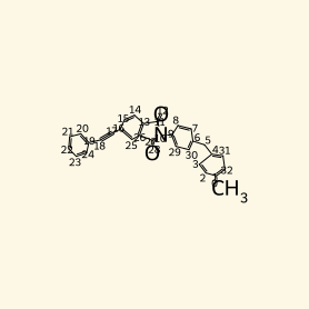 Cc1ccc(Cc2ccc(N3C(=O)c4ccc(C#Cc5ccccc5)cc4C3=O)cc2)cc1